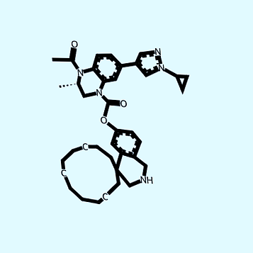 CC(=O)N1c2ccc(-c3cnn(C4CC4)c3)cc2N(C(=O)Oc2ccc3c(c2)C2(CCCCCCCCCCC2)CNC3)C[C@@H]1C